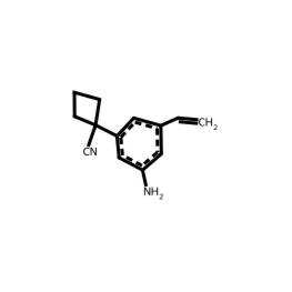 C=Cc1cc(N)cc(C2(C#N)CCC2)c1